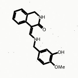 COc1ccc(CNC=C2C(=O)NCc3ccccc32)cc1O